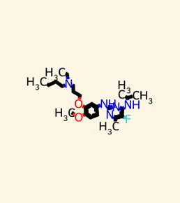 CCCCN(CC)CCCOc1cc(Nc2nc(C)c(F)c(NC(C)C)n2)ccc1OC